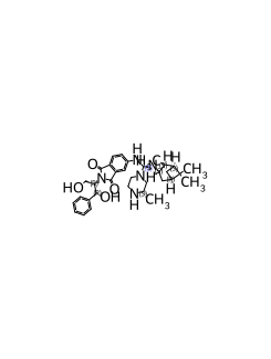 C[C@@H]1[C@@H](/N=C(/Nc2ccc3c(c2)C(=O)N([C@H](CO)[C@H](O)c2ccccc2)C3=O)N2CCN[C@@H](C)C2)C[C@H]2C[C@@H]1C2(C)C